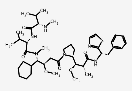 CN[C@H](C(=O)N[C@H](C(=O)N(C)[C@@H](C1CCCCC1)[C@@H](CC(=O)N1CCC[C@H]1[C@H](OC)[C@@H](C)C(=O)N[C@@H](Cc1ccccc1)c1nccs1)OC)C(C)C)C(C)C